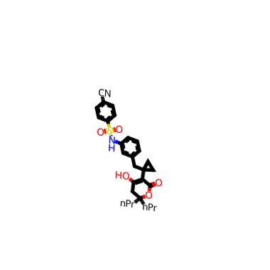 CCCC1(CCC)CC(O)=C(C2(Cc3cccc(NS(=O)(=O)c4ccc(C#N)cc4)c3)CC2)C(=O)O1